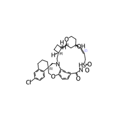 O=C1NS(=O)(=O)C/C=C\[C@@]2(O)CCO[C@H](C2)[C@@H]2CC[C@H]2CN2C[C@@]3(CCCc4cc(Cl)ccc43)COc3ccc1cc32